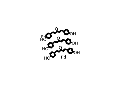 O=C(C=Cc1ccc(O)cc1)C=Cc1ccc(O)cc1.O=C(C=Cc1ccc(O)cc1)C=Cc1ccc(O)cc1.O=C(C=Cc1ccc(O)cc1)C=Cc1ccc(O)cc1.[Pd].[Pd]